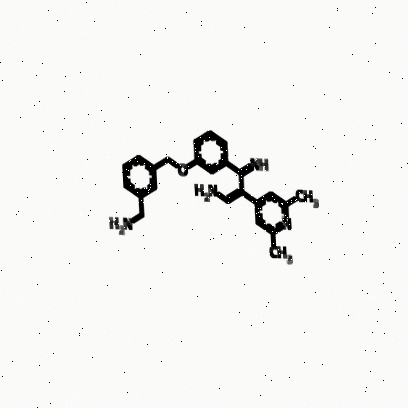 Cc1cc(/C(=C/N)C(=N)c2cccc(OCc3cccc(CN)c3)c2)cc(C)n1